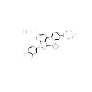 O=C(O)c1cc(-c2ccc(N3CCOCC3)cc2)c2c(C3CCC3)nn(-c3ccc(F)c(F)c3)c2n1